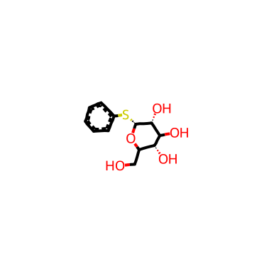 OCC1O[C@H](Sc2ccccc2)[C@H](O)C(O)[C@@H]1O